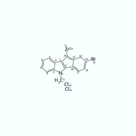 Cn1c2c(c3ccccc31)[C]([Zr+2])=C1CC(Br)=CC=C12.[Cl-].[Cl-]